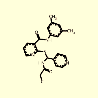 Cc1cc(C)cc(NC(=O)c2cccnc2SC(NC(=O)CCl)c2ccncc2)c1